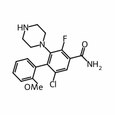 COc1ccccc1-c1c(Cl)cc(C(N)=O)c(F)c1N1CCNCC1